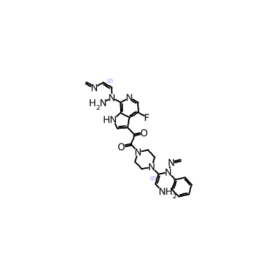 C=N/C=C\N(N)c1ncc(F)c2c(C(=O)C(=O)N3CCN(/C(=C/N)N(N=C)c4ccccc4)CC3)c[nH]c12